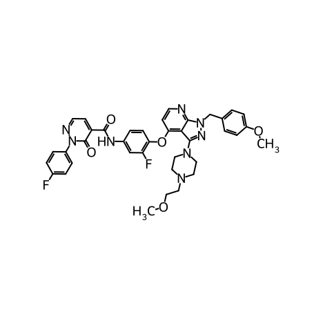 COCCN1CCN(c2nn(Cc3ccc(OC)cc3)c3nccc(Oc4ccc(NC(=O)c5ccnn(-c6ccc(F)cc6)c5=O)cc4F)c23)CC1